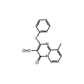 Cc1cccn2c(=O)c(C=O)c(Sc3ccccc3)nc12